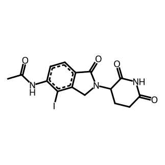 CC(=O)Nc1ccc2c(c1I)CN(C1CCC(=O)NC1=O)C2=O